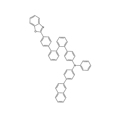 c1ccc(N(c2ccc(-c3ccc4ccccc4c3)cc2)c2ccc(-c3ccccc3-c3ccccc3-c3ccc(-c4nc5ccccc5o4)cc3)cc2)cc1